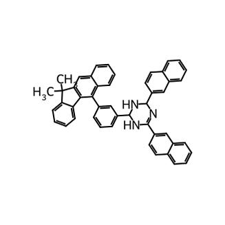 CC1(C)c2ccccc2-c2c1cc1ccccc1c2-c1cccc(C2NC(c3ccc4ccccc4c3)=NC(c3ccc4ccccc4c3)N2)c1